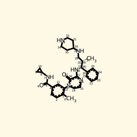 Cc1ccc(C(=O)NC2CC2)cc1-n1ccnc(N[C@@H](c2ccccc2)[C@@H](C)CNC2CCNCC2)c1=O